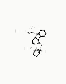 COc1cccc2c3c(=O)n([C@@H]4C(C)(C)C5CC[C@@]4(C)C5)ccc3n(CCC(=O)O)c12